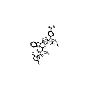 CC(C)C[C@H](NC(=O)[C@H](Cc1ccccc1)NC(=O)[C@H](C)NC(=O)[C@]1(C)NC(=O)CCC1=O)C(=O)Nc1ccc([N+](=O)[O-])cc1